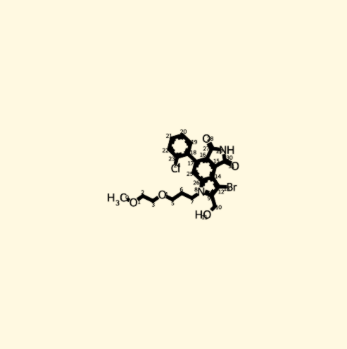 COCCOCCCn1c(CO)c(Br)c2c3c(c(-c4ccccc4Cl)cc21)C(=O)NC3=O